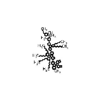 CCCCCCCCC1(CCCCCCCC)c2cc(-c3ccc(N(C)c4c(C)cc(CCCC)cc4C)cc3)ccc2-c2ccc(-c3ccc4c(c3)C(c3cc(CCCCCC)cc(CCCCCC)c3)(c3cc(CCCCCC)cc(CCCCCC)c3)c3cc(-c5ccc6c(c5)C(c5ccc7c(c5)CC7)(c5ccc7c(c5)CC7)c5cc(C)ccc5-6)ccc3-4)cc21